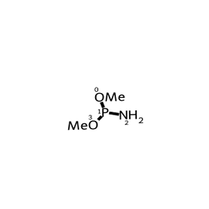 COP(N)OC